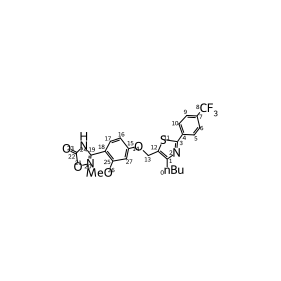 CCCCc1nc(-c2ccc(C(F)(F)F)cc2)sc1COc1ccc(-c2noc(=O)[nH]2)c(OC)c1